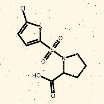 O=C(O)C1CCCN1S(=O)(=O)c1ccc(Cl)s1